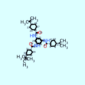 CC(C)[C@H]1CC[C@H](C(=O)Nc2cc(NC(=O)[C@H]3CC[C@H](C(C)C)CC3)cc(NC(=O)[C@H]3CC[C@@H](C(C)(C)C)CC3)c2)CC1